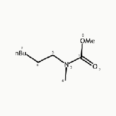 [CH2]OC(=O)N(C)CCCCCC